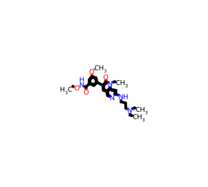 CCONC(=O)c1cc(OC)cc(-c2cc3cnc(NCCCN(CC)CC)cc3n(CC)c2=O)c1